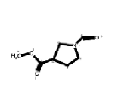 COC(=O)C1CCN(C=O)C1